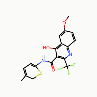 COc1ccc2nc(C(F)(F)F)c(C(=O)NC3=CC=C(C)CS3)c(O)c2c1